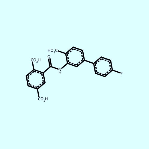 O=C(O)c1ccc(C(=O)O)c(C(=O)Nc2cc(-c3ccc(F)cc3)ccc2C(=O)O)c1